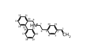 C=Cc1ccc(CCNCc2ccccc2-c2ccccc2)cc1